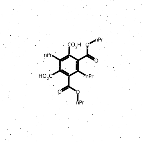 CCCOC(=O)c1c(CCC)c(C(=O)OCCC)c(C(=O)O)c(CCC)c1C(=O)O